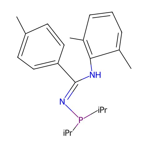 Cc1ccc(C(=NP(C(C)C)C(C)C)Nc2c(C)cccc2C)cc1